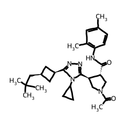 CC(=O)N1C[C@@H](C(=O)Nc2ccc(C)cc2C)[C@H](c2nnc([C@H]3C[C@@H](CC(C)(C)C)C3)n2C2CC2)C1